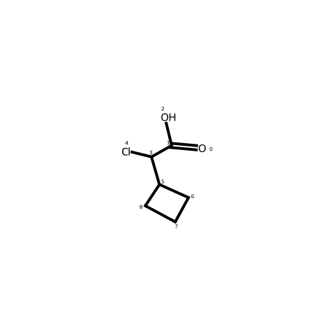 O=C(O)C(Cl)C1CCC1